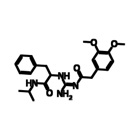 COc1ccc(CC(=O)N=C(N)NC(Cc2ccccc2)C(=O)NC(C)C)cc1OC